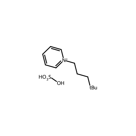 CC(C)(C)CCC[n+]1ccccc1.O=S(=O)(O)O